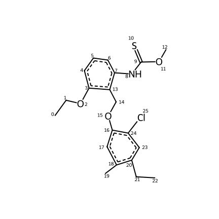 CCOc1cccc(NC(=S)OC)c1COc1cc(C)c(CC)cc1Cl